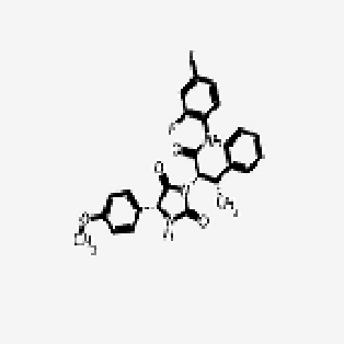 COc1ccc([C@H]2NC(=O)N([C@H](C(=O)Nc3ccc(I)cc3F)[C@@H](C)c3ccccc3)C2=O)cc1